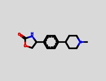 CN1CCC(c2ccc(C3COC(=O)N3)cc2)CC1